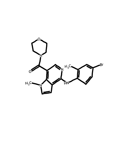 Cc1cc(Br)ccc1Nc1ncc(C(=O)N2CCOCC2)c2c1ccn2C